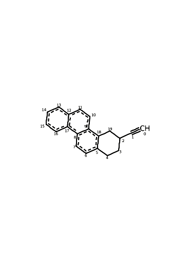 C#CC1CCc2ccc3c(ccc4ccccc43)c2C1